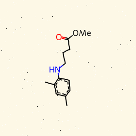 COC(=O)CCCNc1ccc(C)cc1C